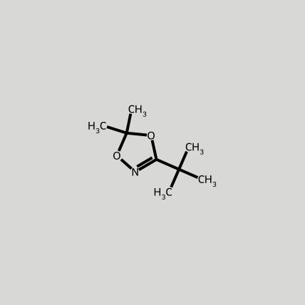 CC1(C)ON=C(C(C)(C)C)O1